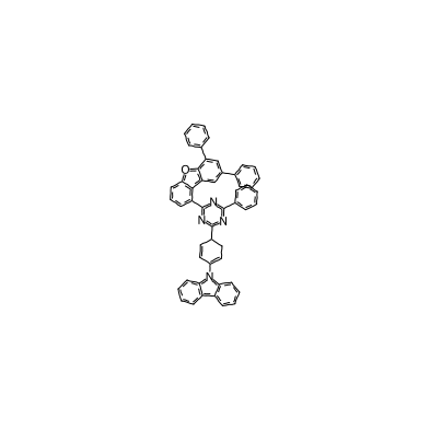 C1=CC(c2nc(-c3ccccc3)nc(-c3cccc4oc5c(-c6ccccc6)cc(-c6ccccc6)cc5c34)n2)CC=C1n1c2ccccc2c2ccccc21